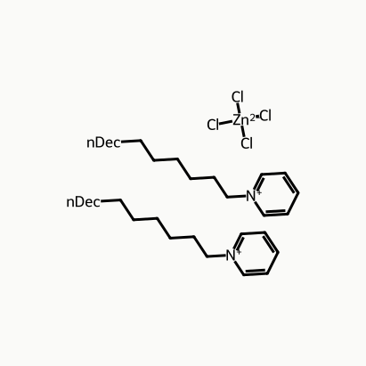 CCCCCCCCCCCCCCCC[n+]1ccccc1.CCCCCCCCCCCCCCCC[n+]1ccccc1.[Cl][Zn-2]([Cl])([Cl])[Cl]